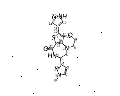 Cn1ccc(C2CN3CCOc4c(-c5cn[nH]c5)sc(c43)C(=O)N2)n1